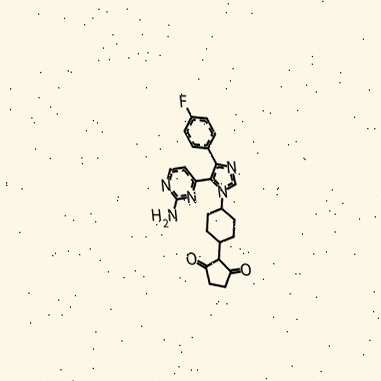 Nc1nccc(-c2c(-c3ccc(F)cc3)ncn2C2CCC(C3C(=O)CCC3=O)CC2)n1